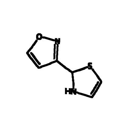 C1=CSC(c2ccon2)N1